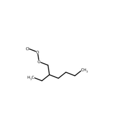 CCCCC(CC)COOCl